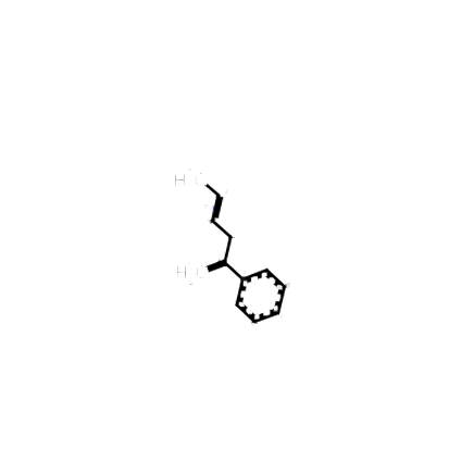 C=C(C/C=C/C)c1ccccc1